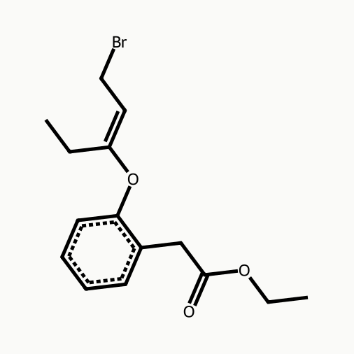 CCOC(=O)Cc1ccccc1O/C(=C/CBr)CC